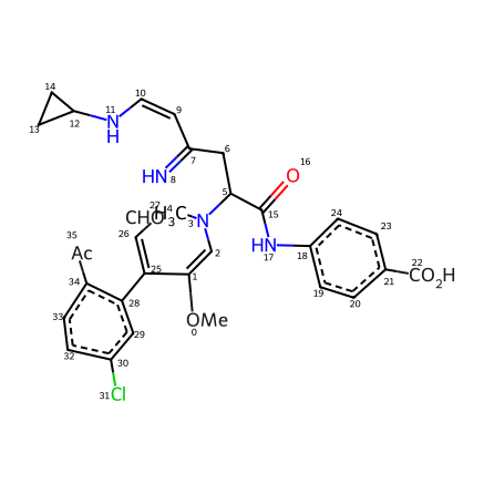 COC(=C/N(C)C(CC(=N)/C=C\NC1CC1)C(=O)Nc1ccc(C(=O)O)cc1)/C(=C\C=O)c1cc(Cl)ccc1C(C)=O